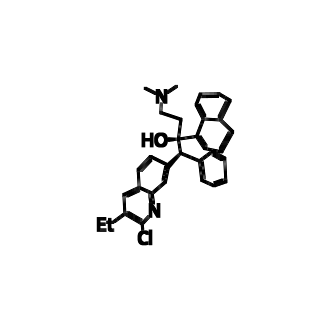 CCc1cc2ccc([C@H](c3ccccc3)[C@](O)(CCN(C)C)c3cccc4ccccc34)cc2nc1Cl